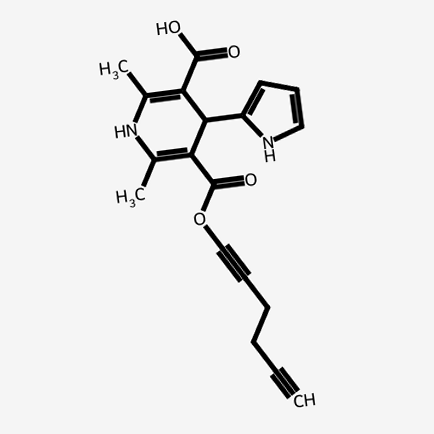 C#CCCC#COC(=O)C1=C(C)NC(C)=C(C(=O)O)C1c1ccc[nH]1